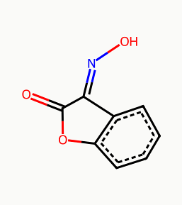 O=C1Oc2ccccc2/C1=N\O